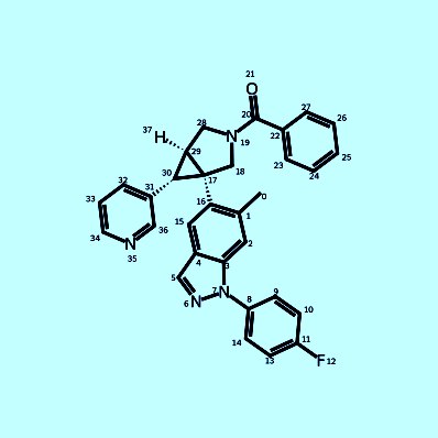 Cc1cc2c(cnn2-c2ccc(F)cc2)cc1[C@@]12CN(C(=O)c3ccccc3)C[C@@H]1[C@H]2c1cccnc1